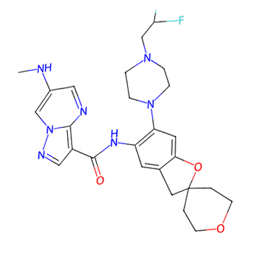 CNc1cnc2c(C(=O)Nc3cc4c(cc3N3CCN(CC(F)F)CC3)OC3(CCOCC3)C4)cnn2c1